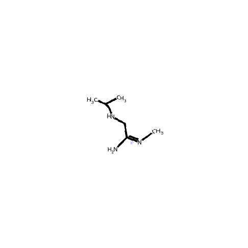 C/N=C(/N)CNC(C)C